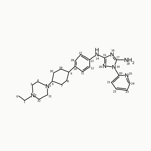 CCN1CCN(C2CCC(c3ccc(Nc4nc(N)n(-c5ccccn5)n4)cc3)CC2)CC1